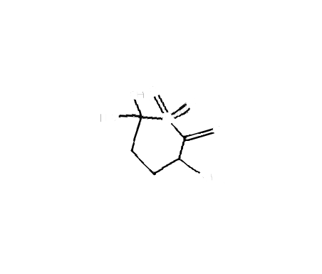 CC1CCC(C)(C)S(=O)(=O)C1=O